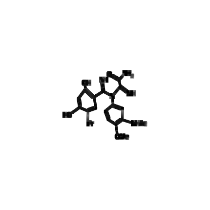 COc1ccc(N(C(=N)C(N)=O)C(=N)c2cc(C(C)C)c(O)cc2O)cc1NC(C)=O